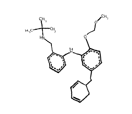 COCOc1ccc(CC2C=CC=CC2)cc1Pc1ccccc1CNC(C)(C)C